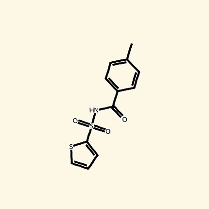 Cc1ccc(C(=O)NS(=O)(=O)c2cccs2)cc1